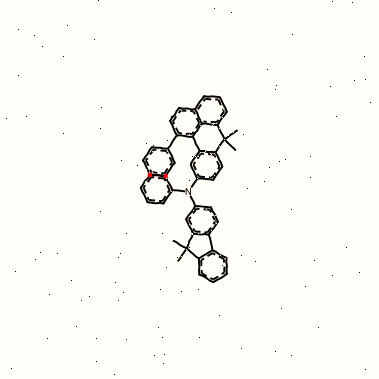 CC1(C)c2ccccc2-c2ccc(N(c3ccccc3)c3ccc4c(c3)-c3c(-c5ccccc5)ccc5cccc(c35)C4(C)C)cc21